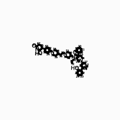 CCCN(C(=O)C1(c2ccccc2)CCN(c2cnnc(-c3ccccc3O)c2)CC1)C1CCN(CCC2CCN(c3ccc([C@H]4CCC(=O)NC4=O)cc3)CC2)CC1